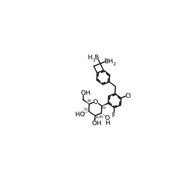 BC1(B)Cc2ccc(Cc3cc([C@@H]4O[C@H](CO)[C@@H](O)[C@H](O)[C@H]4O)c(F)cc3Cl)cc21